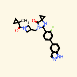 CC1(C(=O)N2CC(CN3C(=O)C4(CC4)N=C3c3ccc(-c4ccc5[nH]ncc5c4)cc3F)C2)CC1